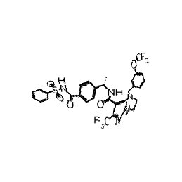 C[C@H](NC(=O)c1c(C(F)(F)F)nn2c1N(Cc1cccc(OC(F)(F)F)c1)CC2)c1ccc(C(=O)NS(=O)(=O)c2ccccc2)cc1